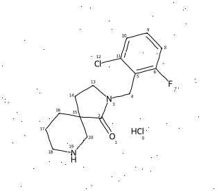 Cl.O=C1N(Cc2c(F)cccc2Cl)CCC12CCCNC2